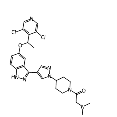 CC(Oc1ccc2[nH]nc(-c3cnn(C4CCN(C(=O)CN(C)C)CC4)c3)c2c1)c1c(Cl)cncc1Cl